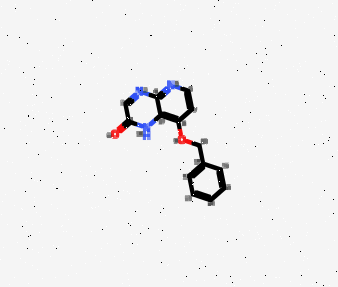 O=c1cnc2nccc(OCc3ccccc3)c2[nH]1